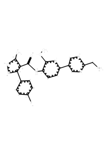 COc1nc(-c2cnc(CN)nc2)ccc1NC(=O)c1c(-c2ccc(F)cc2)noc1C